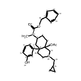 CC(=O)OC12CCC(N(C)C(=O)OCc3ccccc3)CC1(c1cccc(O)c1)CCN(CC1CC1)C2